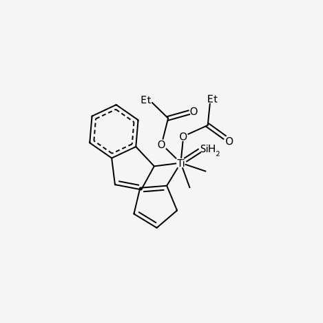 CCC(=O)[O][Ti]([CH3])([CH3])(=[SiH2])([O]C(=O)CC)([C]1=CC=CC1)[CH]1C=Cc2ccccc21